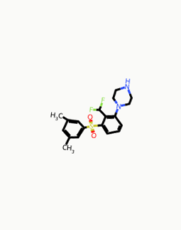 Cc1cc(C)cc(S(=O)(=O)c2cccc(N3CCNCC3)c2C(F)F)c1